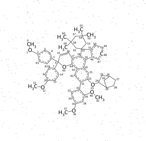 COc1ccc(C2(c3ccc(OC)cc3)C=Cc3c4c(c5cc(OC6CC7CCC6C7)c(-c6ccc(OC)cc6OC)cc5c3O2)-c2ccccc2C42CC(C)(C)CC(C)(C)C2)cc1